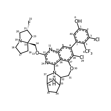 Oc1cc(Cl)c(C(F)(F)F)c(-c2cc3nc(OC[C@@]45CCCN4C[C@H](F)C5)nc4c3c(c2Cl)OCC2C3CCC(CN42)N3)c1